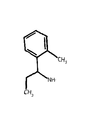 CCC([NH])c1ccccc1C